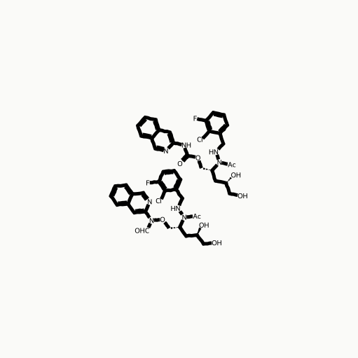 CC(=O)N(NCc1cccc(F)c1Cl)[C@@H](COC(=O)Nc1cc2ccccc2cn1)C[C@H](O)CO.CC(=O)N(NCc1cccc(F)c1Cl)[C@@H](CON(C=O)c1cc2ccccc2cn1)C[C@@H](O)CO